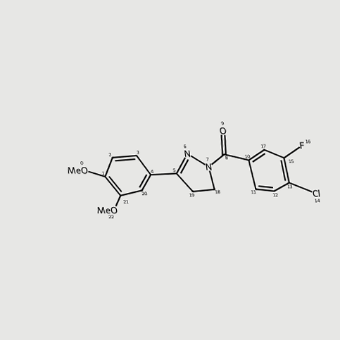 COc1ccc(C2=NN(C(=O)c3ccc(Cl)c(F)c3)CC2)cc1OC